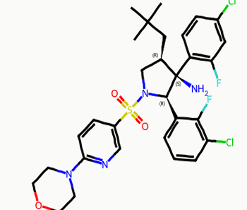 CC(C)(C)C[C@@H]1CN(S(=O)(=O)c2ccc(N3CCOCC3)nc2)[C@H](c2cccc(Cl)c2F)[C@@]1(N)c1ccc(Cl)cc1F